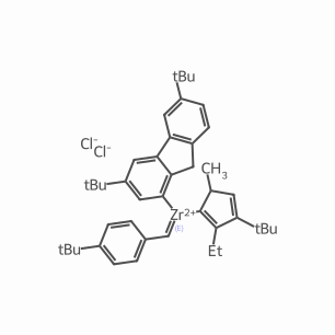 CCC1=[C](/[Zr+2](=[CH]/c2ccc(C(C)(C)C)cc2)[c]2cc(C(C)(C)C)cc3c2Cc2ccc(C(C)(C)C)cc2-3)C(C)C=C1C(C)(C)C.[Cl-].[Cl-]